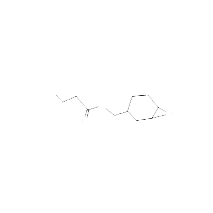 [CH2]CCC(=O)OCC1CCC2OC2C1